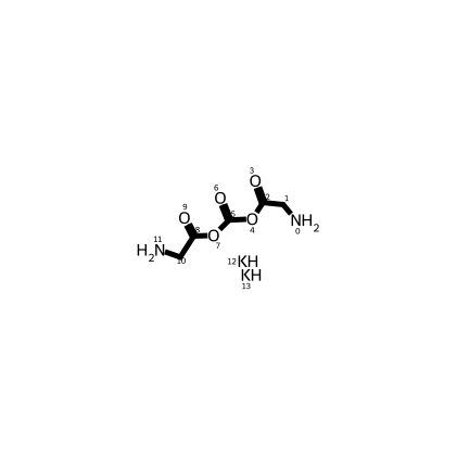 NCC(=O)OC(=O)OC(=O)CN.[KH].[KH]